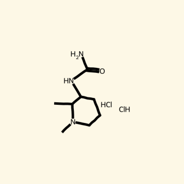 CC1C(NC(N)=O)CCCN1C.Cl.Cl